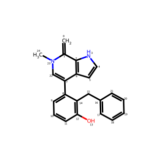 C=C1c2[nH]ccc2C(c2cccc(O)c2Cc2ccccc2)=CN1C